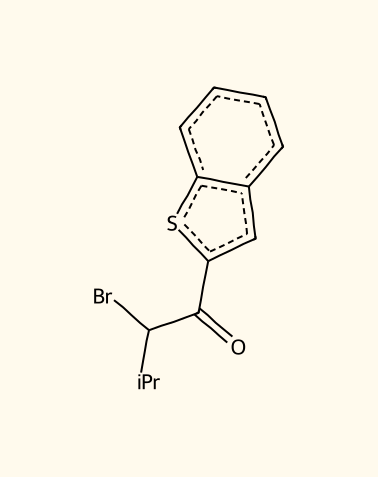 CC(C)C(Br)C(=O)c1cc2ccccc2s1